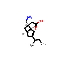 CCC(C)C1=C[C@H]2[C@@H](C1)C[C@@]2(CN)CC(=O)O